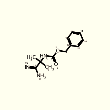 CC(C)(NC(=O)OCc1ccccc1)C(=N)N